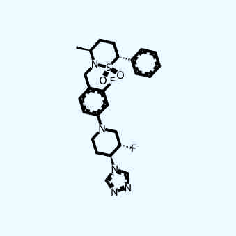 C[C@H]1CC[C@H](c2ccccc2)S(=O)(=O)N1Cc1ccc(N2CC[C@H](n3cnnc3)[C@@H](F)C2)cc1F